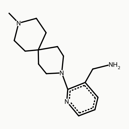 CN1CCC2(CC1)CCN(c1ncccc1CN)CC2